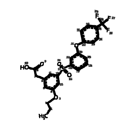 CCCOc1cc(CC(=O)O)cc(S(=O)(=O)c2cccc(Oc3ccc(C(F)(F)F)cc3)c2)c1